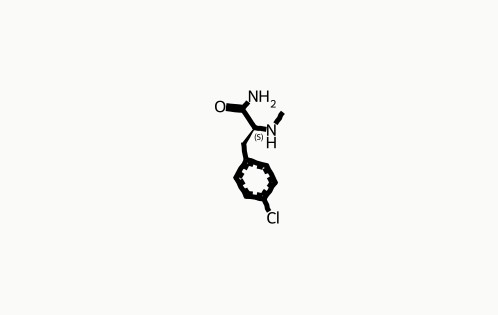 CN[C@@H](Cc1ccc(Cl)cc1)C(N)=O